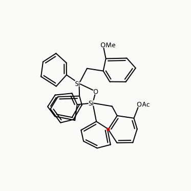 COc1ccccc1C[Si](O[Si](Cc1ccccc1OC(C)=O)(c1ccccc1)c1ccccc1)(c1ccccc1)c1ccccc1